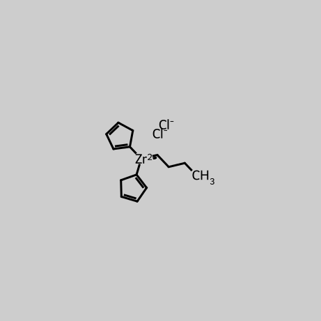 CCC[CH]=[Zr+2]([C]1=CC=CC1)[C]1=CC=CC1.[Cl-].[Cl-]